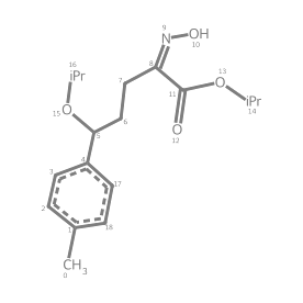 Cc1ccc(C(CC/C(=N/O)C(=O)OC(C)C)OC(C)C)cc1